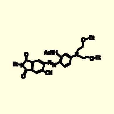 CCOCCN(CCOCC)c1ccc(N=Nc2cc3c(cc2C#N)C(=O)N(CC)C3=O)c(NC(C)=O)c1